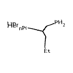 Br.CCCC(P)CC